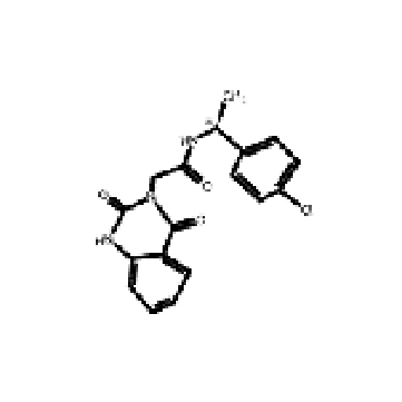 C[C@H](NC(=O)Cn1c(=O)[nH]c2ccccc2c1=O)c1ccc(Cl)cc1